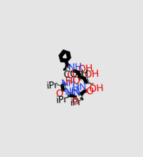 CC(C)C[C@H](NC(=O)[C@@H](NC(=O)[C@@H](N)C(C)C)C(C)C)C(=O)N[C@@H](CO)[C@@H](O)[C@@H](O)[C@H](O)C(=O)N[C@@H](CC(=O)O)c1ccccc1